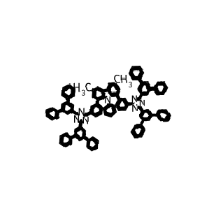 Cc1cc(-c2cccc(-c3nc(-c4cc(-c5ccccc5)cc(-c5ccccc5)c4)nc(-c4cc(-c5ccccc5)cc(-c5ccccc5)c4)n3)c2)c2c(c1)c1cc(C)cc(-c3cccc(-c4nc(-c5cc(-c6ccccc6)cc(-c6ccccc6)c5)nc(-c5cc(-c6ccccc6)cc(-c6ccccc6)c5)n4)c3)c1n2-c1ccccc1